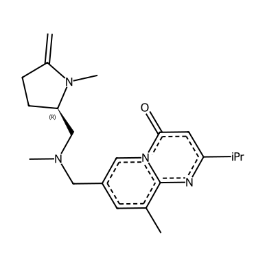 C=C1CC[C@H](CN(C)Cc2cc(C)c3nc(C(C)C)cc(=O)n3c2)N1C